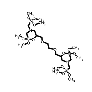 CO[Si](CN1CC(COCCOCC2CN(C[Si](OC)(OC)OC)C[Si](OC)(OC)O2)O[Si](OC)(OC)C1)(OC)OC